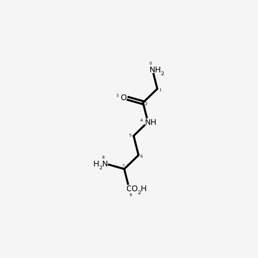 NCC(=O)NCCC(N)C(=O)O